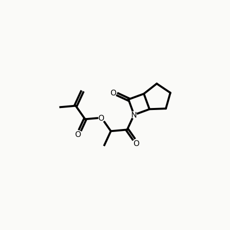 C=C(C)C(=O)OC(C)C(=O)N1C(=O)C2CCCC21